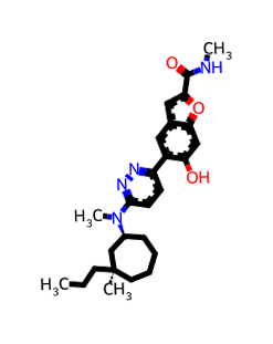 CCC[C@]1(C)CCCC[C@H](N(C)c2ccc(-c3cc4cc(C(=O)NC)oc4cc3O)nn2)C1